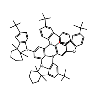 CC(C)(C)c1ccc(N2c3cc4c(cc3B3c5cc(C(C)(C)C)cc6c5N(c5cc(N7c8ccc(C(C)(C)C)cc8C8(C)CCCCC78C)cc2c53)C2(C)CCCCC62C)oc2ccc(C(C)(C)C)cc24)c(-c2ccccc2)c1